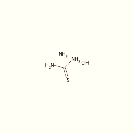 Cl.N.NC(N)=S